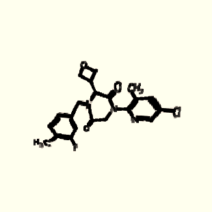 Cc1ccc(CN2C(=O)CN(c3ncc(Cl)cc3C)C(=O)[C@@H]2C2COC2)cc1F